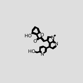 Cn1cc(C=C2Oc3cccc(O)c3C2=O)c2c(-c3ccc(CO)nc3)ccnc21